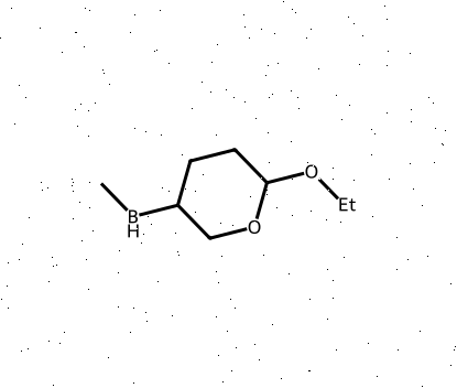 CBC1CCC(OCC)OC1